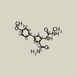 CNC(=O)Nc1cc(-c2ccc(OC)cc2)sc1C(N)=O